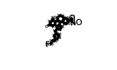 CC1=CCC(C2=C(C3=CC=C(CC4CCN(CCCF)C4)C3)c3ccc(C(=O)N=O)cc3CCC2)C(C)=C1